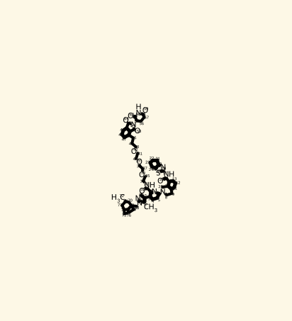 Cc1c(-c2ccc(N3CCc4cccc(C(=O)Nc5nc6ccccc6s5)c4C3)nc2C(=O)NCCOCCOCCOCCCc2cccc3c2C(=O)N(C2CCC(=O)NC2=O)C3=O)cnn1CC12CC(C)CC3CC(C1)C32